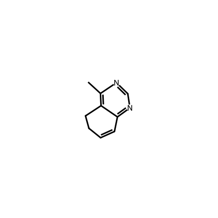 Cc1ncnc2c1CCC=C2